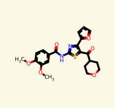 COc1ccc(C(=O)Nc2nc(-c3ccco3)c(C(=O)C3CCOCC3)s2)cc1OC